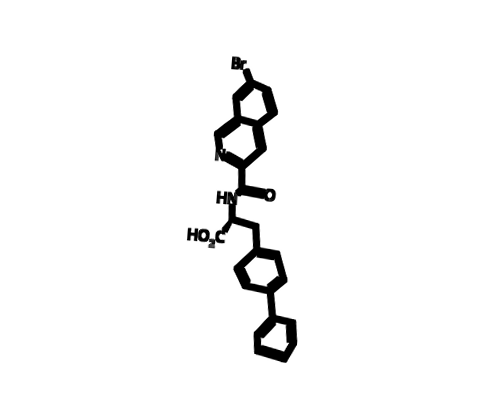 O=C(N[C@@H](Cc1ccc(-c2ccccc2)cc1)C(=O)O)c1cc2ccc(Br)cc2cn1